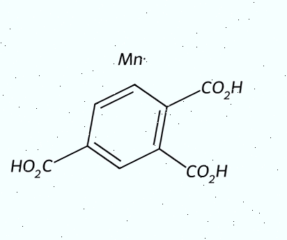 O=C(O)c1ccc(C(=O)O)c(C(=O)O)c1.[Mn]